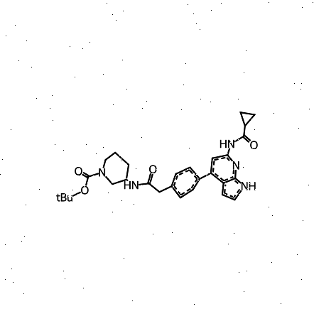 CC(C)(C)OC(=O)N1CCCC(NC(=O)Cc2ccc(-c3cc(NC(=O)C4CC4)nc4[nH]ccc34)cc2)C1